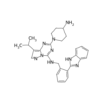 CC(C)c1cnn2c(NCc3ccccc3-c3nc4ccccc4[nH]3)nc(N3CCC(N)CC3)nc12